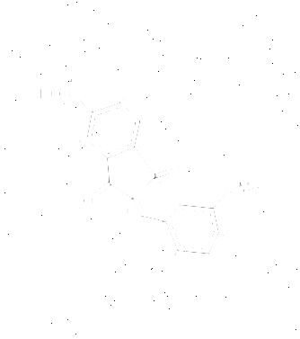 COc1cccc(/C=C2\C(=O)c3ccc(C(=O)O)cc3C2=O)c1